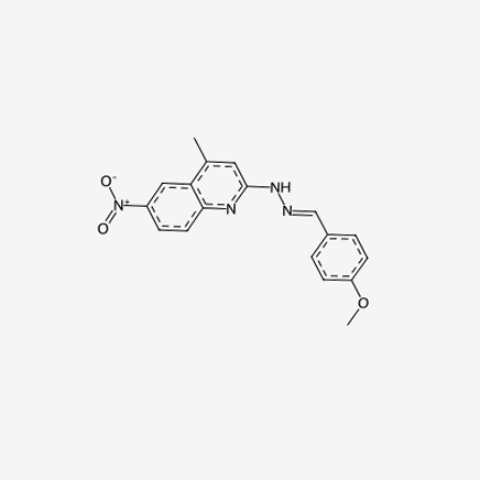 COc1ccc(C=NNc2cc(C)c3cc([N+](=O)[O-])ccc3n2)cc1